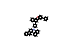 CC1(C)c2ccccc2-c2ccc(N(c3ccc(-c4cc5c6cc(-c7ccccc7)ccc6oc5c5ccccc45)cc3)c3cccc4ccccc34)cc21